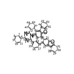 C1=CC(c2nc(-c3ccccc3)nc(-c3cccc(-c4ccc5oc6c(c5c4)C=CCC6)c3-c3ccc4c(c3)oc3ccccc34)n2)=CCC1